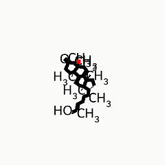 C/C(=C\CC[C@@H](C)[C@H]1CC[C@@]2(C)C3=CC[C@@]4(C)C(C)(C)C(=O)CC[C@]4(C)C3=CC[C@]12C)CO